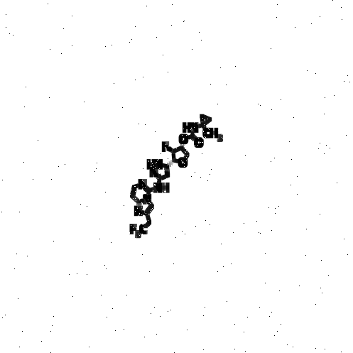 CC1(NC(=O)O[C@@H]2CO[C@H](c3cc(Nc4nccc5nc(CC(F)(F)F)cn45)n[nH]3)[C@H]2F)CC1